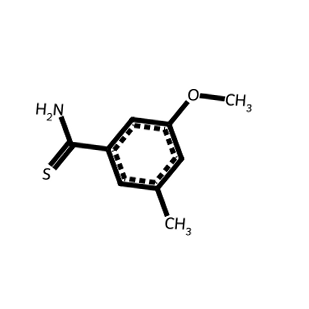 COc1cc(C)cc(C(N)=S)c1